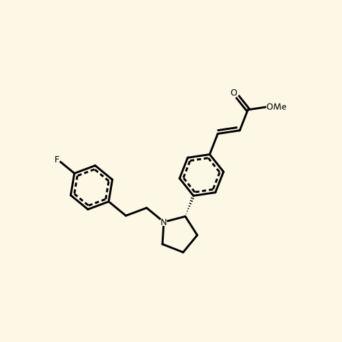 COC(=O)/C=C/c1ccc([C@@H]2CCCN2CCc2ccc(F)cc2)cc1